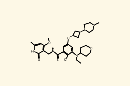 CCN(c1cc(O[C@H]2C[C@H](N3CCN(C)CC3)C2)cc(C(=O)NCc2c(OC)cc(C)[nH]c2=O)c1Cl)C1CCOCC1